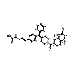 O=C(O)NC/C=C/c1ccc(C(=C2CCN(C(=O)N3CC[C@@H]4OCC(=O)N[C@@H]4C3)CC2)c2ccccc2)cc1